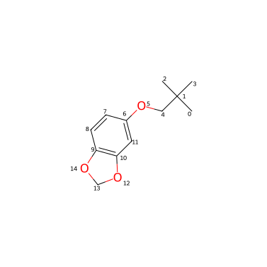 CC(C)(C)COc1ccc2c(c1)OCO2